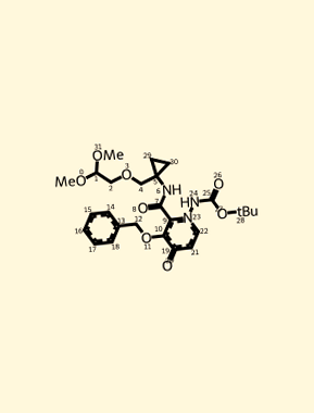 COC(COCC1(NC(=O)c2c(OCc3ccccc3)c(=O)ccn2NC(=O)OC(C)(C)C)CC1)OC